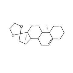 C[C@]12CCCCC1=CCC1C2CC[C@@]2(C)C1CCC21OCCO1